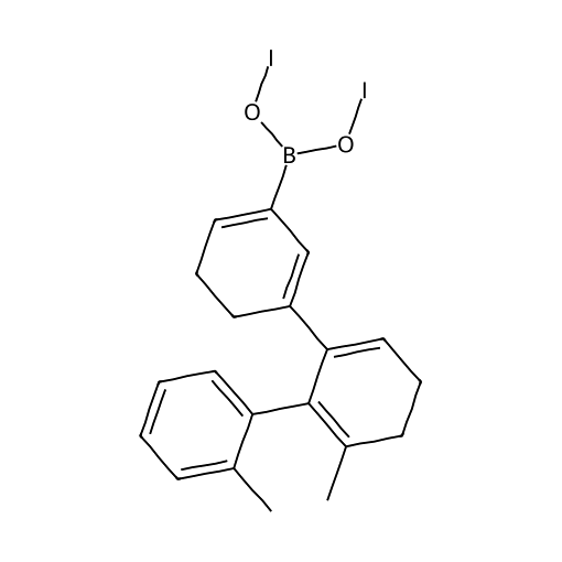 CC1=C(c2ccccc2C)C(C2=CC(B(OI)OI)=CCC2)=CCC1